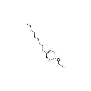 [CH2]COc1ccc(CCCCCCCCC)cc1